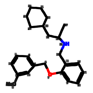 COc1cccc(COc2ccccc2CNC(C)CC2CCCCC2)c1